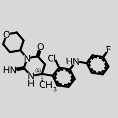 C[C@@]1(c2cccc(Nc3cccc(F)c3)c2Cl)CC(=O)N(C2CCOCC2)C(=N)N1